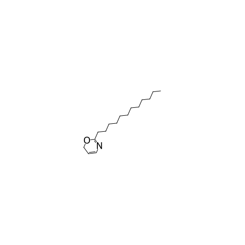 CCCCCCCCCCCCC1=NC=CCO1